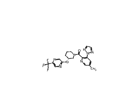 Cc1cnc(C(=O)N2CCC[C@@H](Oc3cnc(C(F)(F)F)cn3)C2)c(-n2nccn2)c1